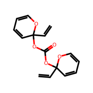 C=CC1(OC(=O)OC2(C=C)C=CC=CO2)C=CC=CO1